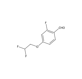 O=Cc1ccc(OCC(F)F)cc1F